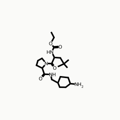 CCOC(=O)NC(CC(C)(C)C)C(=O)N1CCCC1C(=O)NCC1CCC(N)CC1